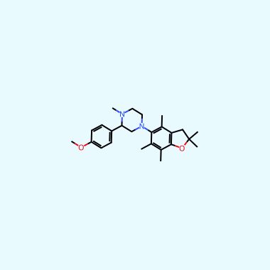 COc1ccc(C2CN(c3c(C)c(C)c4c(c3C)CC(C)(C)O4)CCN2C)cc1